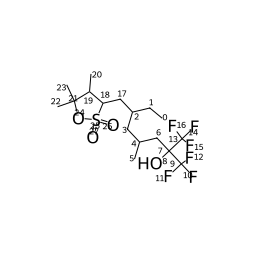 CCC(CC(C)CC(O)(C(F)(F)F)C(F)(F)F)CC1C(C)C(C)(C)OS1(=O)=O